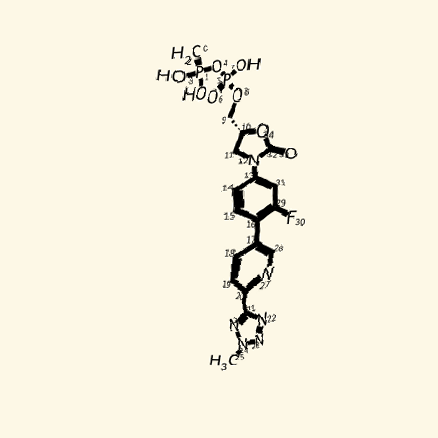 C=P(O)(O)OP(=O)(O)OC[C@H]1CN(c2ccc(-c3ccc(-c4nnn(C)n4)nc3)c(F)c2)C(=O)O1